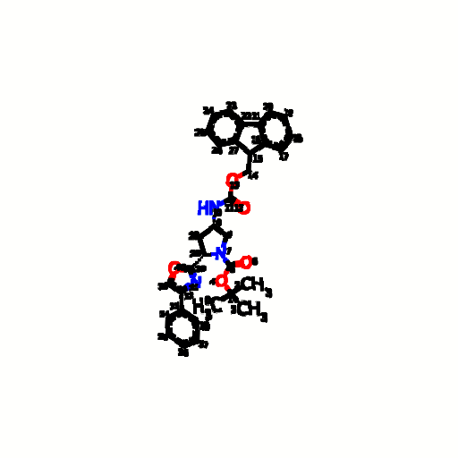 CC(C)(C)OC(=O)N1C[C@@H](NC(=O)OCC2c3ccccc3-c3ccccc32)C[C@H]1c1nc(-c2ccccc2)co1